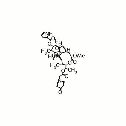 CO[C@H]1C[C@H]2C=C[C@H]3[C@H]4O[C@]2(/C(C)=C/[C@@H](C)[C@@H]([C@@H](C)OC(=O)Cn2ccc(=O)cc2)OC1=O)[C@@H]3[C@H](O)[C@@H](C)[C@H]4OC(=O)c1ccc[nH]1